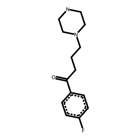 O=C(CCCN1CC[N]CC1)c1ccc(F)cc1